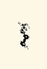 Cc1cccc(C#Cc2cccc(-n3cnc(OC(=O)N(C)C)n3)c2)n1